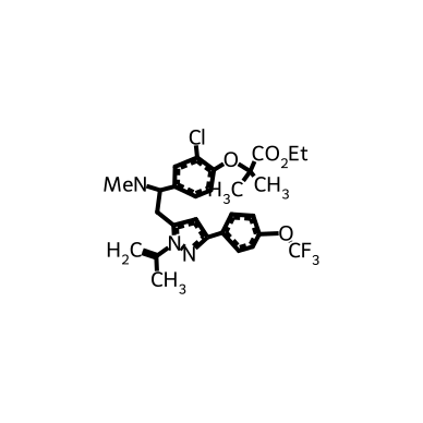 C=C(C)n1nc(-c2ccc(OC(F)(F)F)cc2)cc1CC(NC)c1ccc(OC(C)(C)C(=O)OCC)c(Cl)c1